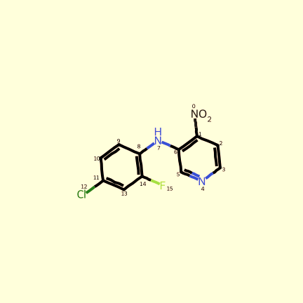 O=[N+]([O-])c1ccncc1Nc1ccc(Cl)cc1F